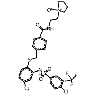 O=C(NCC[N+]1([O-])CCCC1)c1ccc(CSc2ccc(Cl)cc2NS(=O)(=O)c2ccc(Cl)c(C(F)(F)F)c2)cc1